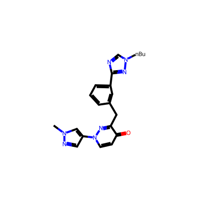 CCCCn1cnc(-c2cccc(Cc3nn(-c4cnn(C)c4)ccc3=O)c2)n1